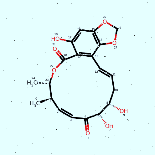 C[C@@H]1/C=C\C(=O)[C@@H](O)[C@@H](O)C/C=C/c2c3c(cc(O)c2C(=O)O[C@H]1C)OCO3